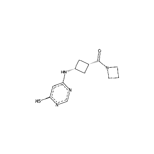 O=C([C@H]1C[C@@H](Nc2cc(S)ncn2)C1)N1CCC1